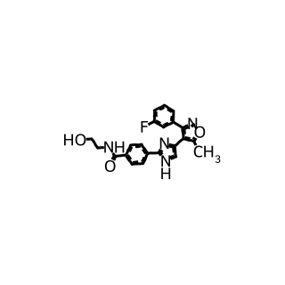 Cc1onc(-c2cccc(F)c2)c1-c1c[nH]c(-c2ccc(C(=O)NCCO)cc2)n1